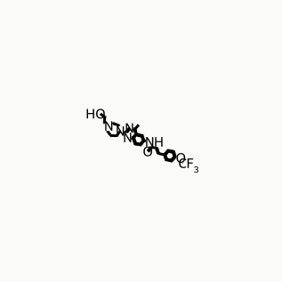 Cc1nc(N2CCCN(CCO)CC2)nc2ccc(NC(=O)C=Cc3ccc(OC(F)(F)F)cc3)cc12